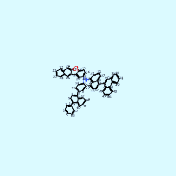 c1ccc(-c2ccc(-c3ccc(N(c4ccc5oc6cc7ccccc7cc6c5c4)c4cccc5c(-c6cc7ccccc7c7ccccc67)cccc45)cc3)c3ccccc23)cc1